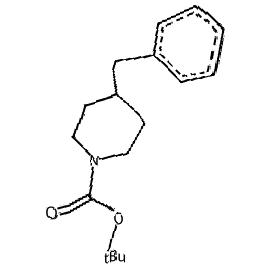 CC(C)(C)OC(=O)N1CCC(Cc2ccccc2)CC1